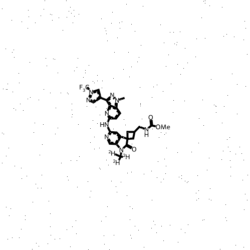 [2H]C([2H])([2H])N1C(=O)C2(CC(CNC(=O)OC)C2)c2cc(Nc3ccc4c(n3)c(-c3cnn(C(F)(F)F)c3)nn4C)ncc21